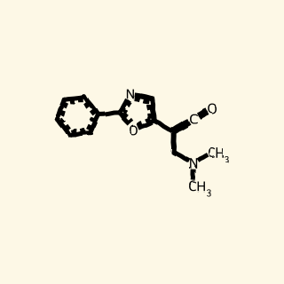 CN(C)CC(=C=O)c1cnc(-c2ccccc2)o1